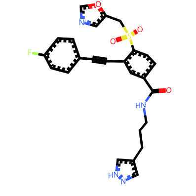 O=C(NCCCc1cn[nH]c1)c1ccc(S(=O)(=O)Cc2cnco2)c(C#Cc2ccc(F)cc2)c1